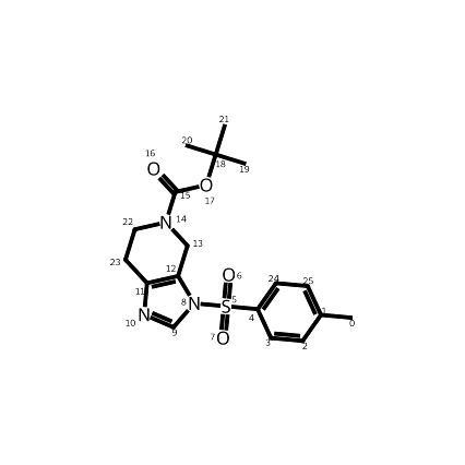 Cc1ccc(S(=O)(=O)n2cnc3c2CN(C(=O)OC(C)(C)C)CC3)cc1